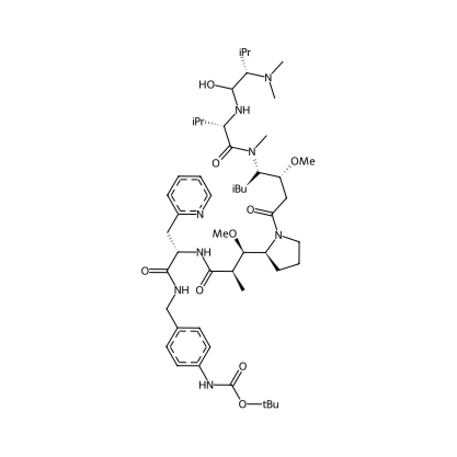 CC[C@H](C)[C@@H]([C@@H](CC(=O)N1CCC[C@H]1[C@H](OC)[C@@H](C)C(=O)N[C@@H](Cc1ccccn1)C(=O)NCc1ccc(NC(=O)OC(C)(C)C)cc1)OC)N(C)C(=O)[C@@H](NC(O)[C@H](C(C)C)N(C)C)C(C)C